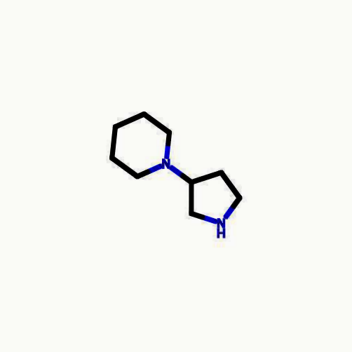 C1CCN(C2CCNC2)CC1